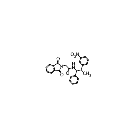 CC(c1cccc([N+](=O)[O-])c1)C(NC(=O)CN1C(=O)c2ccccc2C1=O)c1ccccc1